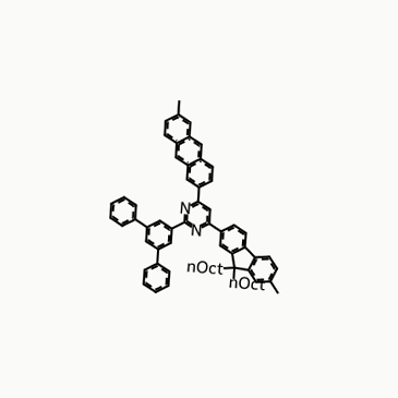 CCCCCCCCC1(CCCCCCCC)c2cc(C)ccc2-c2ccc(-c3cc(-c4ccc5cc6cc(C)ccc6cc5c4)nc(-c4cc(-c5ccccc5)cc(-c5ccccc5)c4)n3)cc21